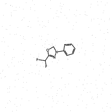 FC(F)C1=NN(c2ccccc2)CO1